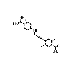 CCN(CC)C(=O)c1cc(C)c(C#CCNc2ccc(C(=N)N)cc2)cc1C